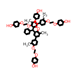 Cc1cc(-c2cc(C)c(OCCOc3ccc(O)cc3)c(C(c3ccccc3)c3cc(-c4ccc(OCCOc5ccc(O)cc5)c(C)c4)cc(C)c3OCCOc3ccc(O)cc3)c2)ccc1OCCOc1ccc(O)cc1